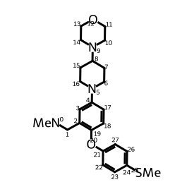 CNCc1cc(N2CCC(N3CCOCC3)CC2)ccc1Oc1ccc(SC)cc1